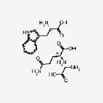 NC(=O)CC[C@H](N)C(=O)O.NCC(=O)O.N[C@@H](Cc1c[nH]c2ccccc12)C(=O)O